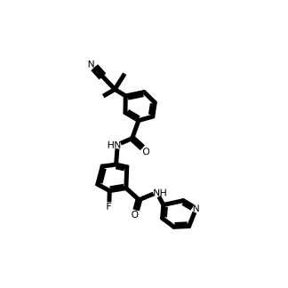 CC(C)(C#N)c1cccc(C(=O)Nc2ccc(F)c(C(=O)Nc3cccnc3)c2)c1